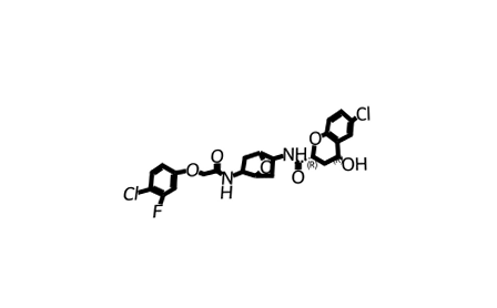 O=C(COc1ccc(Cl)c(F)c1)NC1CC2OC1CC2NC(=O)[C@H]1C[C@@H](O)c2cc(Cl)ccc2O1